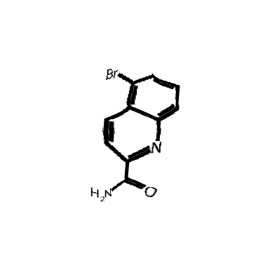 NC(=O)c1ccc2c(Br)[c]ccc2n1